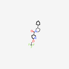 O=C(c1ccc(OCC(F)(F)F)nc1)N1CCCC(c2ccccc2)C1